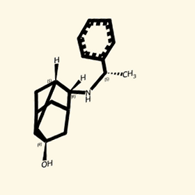 C[C@H](N[C@@H]1C2CC3C[C@H]1C[C@@](O)(C3)C2)c1ccccc1